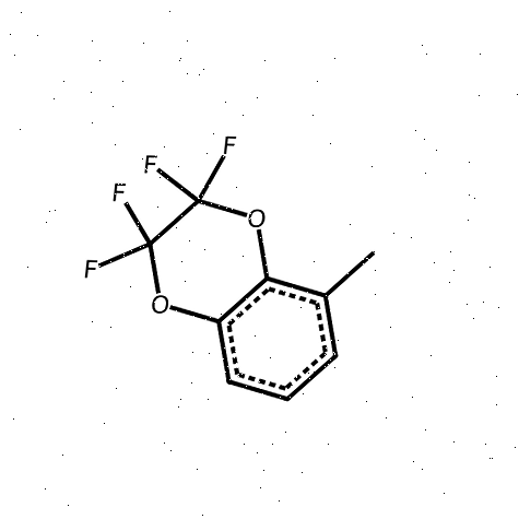 Cc1cccc2c1OC(F)(F)C(F)(F)O2